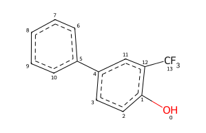 Oc1ccc(-c2ccccc2)cc1C(F)(F)F